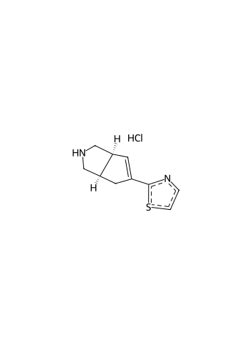 C1=C(c2nccs2)C[C@H]2CNC[C@@H]12.Cl